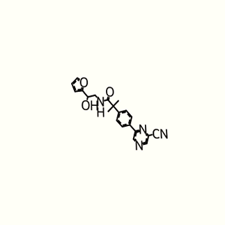 CC(C)(C(=O)NCC(O)c1ccco1)c1ccc(-c2cncc(C#N)n2)cc1